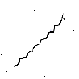 CCCCCOCOCC/C=C/C[CH2][Mg][I]